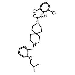 CC(C)COc1ccccc1CN1CCC2(CC1)CCN(C(=O)Nc1c(Cl)cccc1Cl)CC2